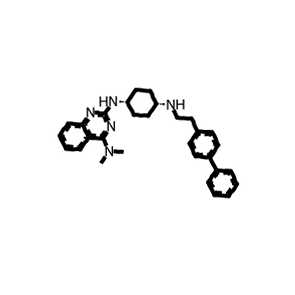 CN(C)c1nc(N[C@H]2CC[C@@H](NCCc3ccc(-c4ccccc4)cc3)CC2)nc2ccccc12